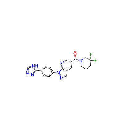 O=C(c1cnc2c(cnn2-c2ccc(-c3nnc[nH]3)cc2)c1)N1CCCC(F)(F)C1